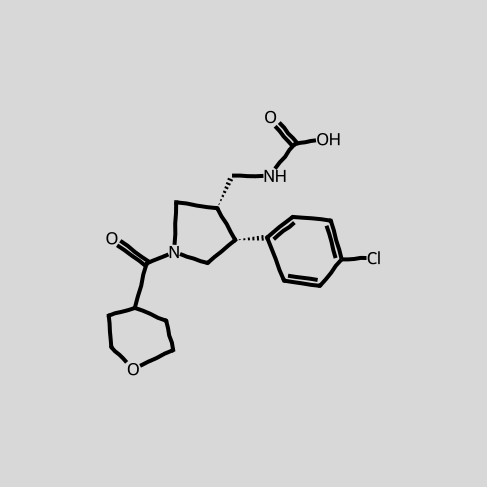 O=C(O)NC[C@H]1CN(C(=O)C2CCOCC2)C[C@H]1c1ccc(Cl)cc1